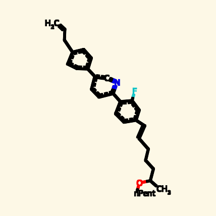 C=CCc1ccc(-c2ccc(-c3ccc(C=CCCCC(C)OCCCCC)cc3F)nc2)cc1